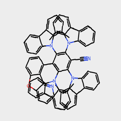 Cc1cccc2c3ccccc3n(-c3c(C#N)c(-n4c5ccccc5c5cccc(C)c54)c(-n4c5ccccc5c5cccc(C)c54)c(-c4cccc5oc6cccnc6c45)c3-n3c4ccccc4c4cccc(C)c43)c12